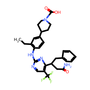 CCc1cc(C2CCN(C(=O)O)CC2)ccc1Nc1ncc(C(F)(F)F)c(C(CC(N)=O)Cc2ccccc2)n1